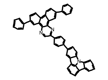 c1ccc(-c2ccc3c4ccc(-c5ccccc5)cc4c4nc(-c5ccc(-c6ccc7c(c6)c6cccc8c9ccccc9n7c86)cc5)cnc4c3c2)cc1